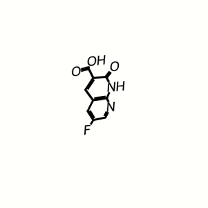 O=C(O)c1cc2cc(F)cnc2[nH]c1=O